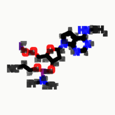 BNc1ncnc2c1ccn2[C@H]1C[C@@H](OP(OCCC#N)N(C(C)C)C(C)C)C(COOI)O1